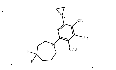 Cc1c(C(=O)O)c(N2CCCC(F)(F)CC2)nc(C2CC2)c1C(F)(F)F